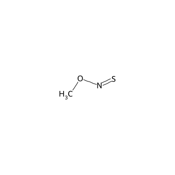 CON=S